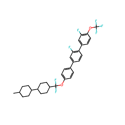 CC1CCC(C2CCC(C(F)(F)Oc3ccc(-c4ccc(-c5ccc(OC(F)(F)F)c(F)c5)c(F)c4)cc3)CC2)CC1